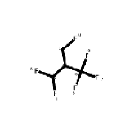 FC[C](C(F)F)C(F)(F)F